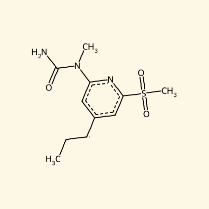 CC[CH]c1cc(N(C)C(N)=O)nc(S(C)(=O)=O)c1